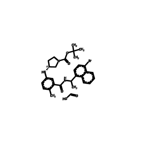 Cc1ccc(N[C@@H]2CCN(C(=O)OC(C)(C)C)C2)cc1C(=O)NC(C)c1ccc(Br)c2ccccc12.O=CO